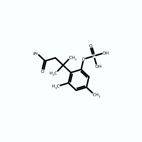 Cc1cc(C)c(C(C)(C)CC(=O)C(C)C)c(OP(=O)(O)O)c1